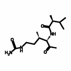 CC(=O)[C@@H](NC(=O)[C@@H](C)C(C)C)[C@@H](C)CCNC(N)=O